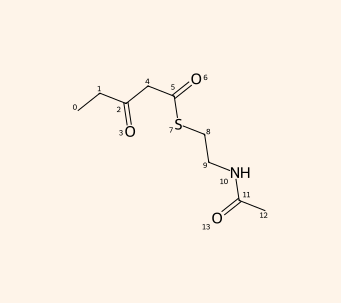 CCC(=O)CC(=O)SCCNC(C)=O